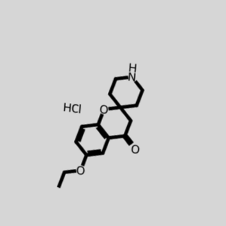 CCOc1ccc2c(c1)C(=O)CC1(CCNCC1)O2.Cl